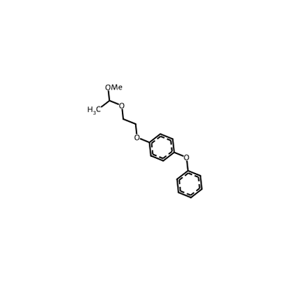 COC(C)OCCOc1ccc(Oc2ccccc2)cc1